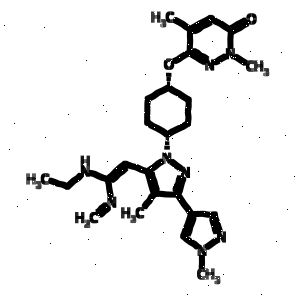 C=N/C(=C\c1c(C)c(-c2cnn(C)c2)nn1[C@H]1CC[C@@H](Oc2nn(C)c(=O)cc2C)CC1)NCC